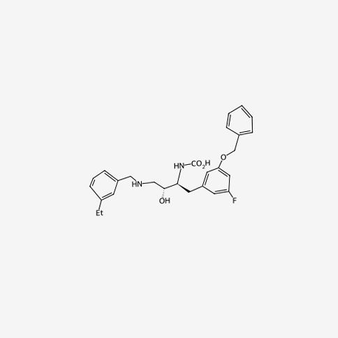 CCc1cccc(CNC[C@@H](O)[C@H](Cc2cc(F)cc(OCc3ccccc3)c2)NC(=O)O)c1